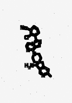 Cc1cc2c(cn1)C(N)C1(CCN(c3nccn4c(-c5cccc(C#N)c5Cl)ncc34)CC1)C2